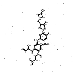 C=CC(=O)Nc1cc(Nc2ncc(C)c(-n3cc(CN4CC(O)C4)c(C)n3)n2)c(OC)cc1N(C)CCN(C)C